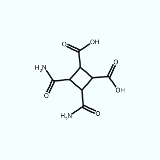 NC(=O)C1C(C(N)=O)C(C(=O)O)C1C(=O)O